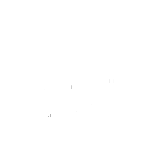 Cc1c(-c2csc([C@H]3CCCCN3)n2)[nH]c2ccccc12